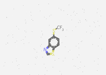 FC(F)(F)Sc1ccc2scnc2c1